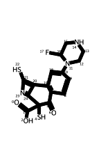 O=C(O)C1(S)C(=O)c2ccc(N3CCNCC3F)cc2C2=C(S)N=C21